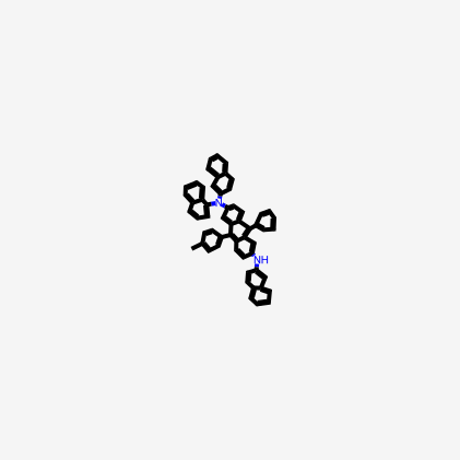 Cc1ccc(-c2c3ccc(Nc4ccc5ccccc5c4)cc3c(-c3ccccc3)c3ccc(N(c4ccc5ccccc5c4)c4cccc5ccccc45)cc23)cc1